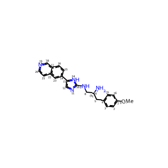 COc1ccc(C[C@H](N)CNc2ncc(-c3ccc4cnccc4c3)[nH]2)cc1